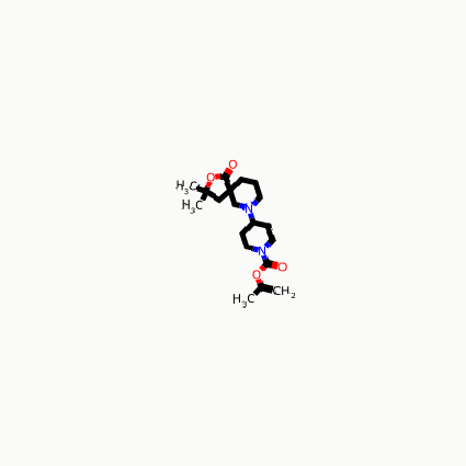 C=C(C)OC(=O)N1CCC(N2CCCC3(C2)CC(C)(C)OC3=O)CC1